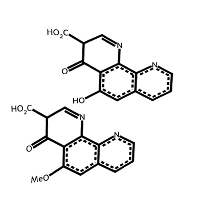 COc1cc2cccnc2c2c1C(=O)C(C(=O)O)C=N2.O=C(O)C1C=Nc2c(c(O)cc3cccnc23)C1=O